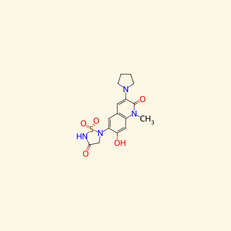 Cn1c(=O)c(N2CCCC2)cc2cc(N3CC(=O)NS3(=O)=O)c(O)cc21